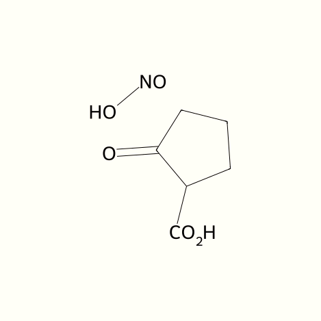 O=C(O)C1CCCC1=O.O=NO